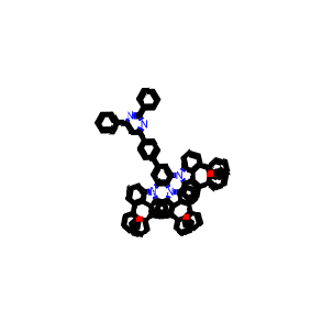 c1ccc(-c2cc(-c3ccc(-c4cc(-n5c6cccc(-c7ccccc7)c6c6c(-c7ccccc7)cccc65)c(-n5c6cccc(-c7ccccc7)c6c6c(-c7ccccc7)cccc65)c(-n5c6cccc(-c7ccccc7)c6c6c(-c7ccccc7)cccc65)c4)cc3)nc(-c3ccccc3)n2)cc1